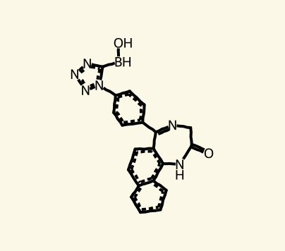 O=C1CN=C(c2ccc(-n3nnnc3BO)cc2)c2ccc3ccccc3c2N1